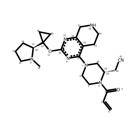 C=CC(=O)N1CCN(c2nc(OC3([C@@H]4CCCN4C)CC3)nc3c2CCNC3)C[C@@H]1CC#N